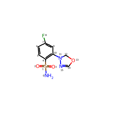 NS(=O)(=O)c1ccc(F)cc1N1COC=N1